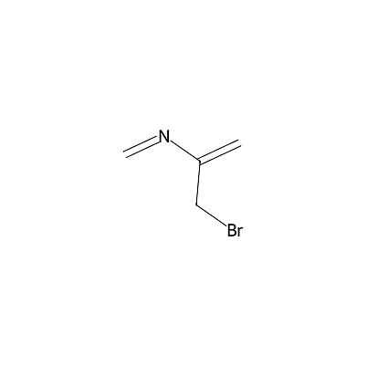 C=NC(=C)CBr